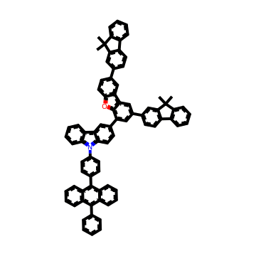 CC1(C)c2ccccc2-c2ccc(-c3ccc4oc5c(-c6ccc7c(c6)c6ccccc6n7-c6ccc(-c7c8ccccc8c(-c8ccccc8)c8ccccc78)cc6)cc(-c6ccc7c(c6)C(C)(C)c6ccccc6-7)cc5c4c3)cc21